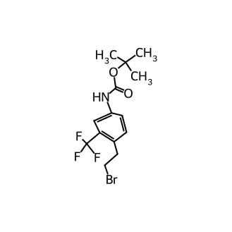 CC(C)(C)OC(=O)Nc1ccc(CCBr)c(C(F)(F)F)c1